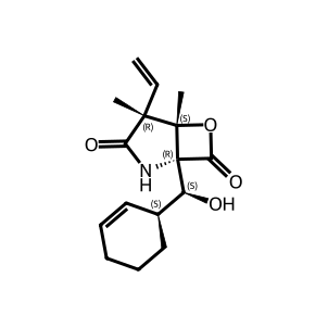 C=C[C@@]1(C)C(=O)N[C@@]2([C@@H](O)[C@@H]3C=CCCC3)C(=O)O[C@@]12C